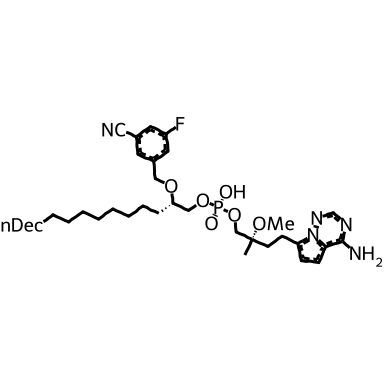 CCCCCCCCCCCCCCCCCC[C@@H](COP(=O)(O)OC[C@](C)(CCc1ccc2c(N)ncnn12)OC)OCc1cc(F)cc(C#N)c1